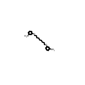 Nc1cccc(OCCCCCCCCCOc2cccc(N)c2)c1